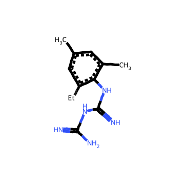 CCc1cc(C)cc(C)c1NC(=N)NC(=N)N